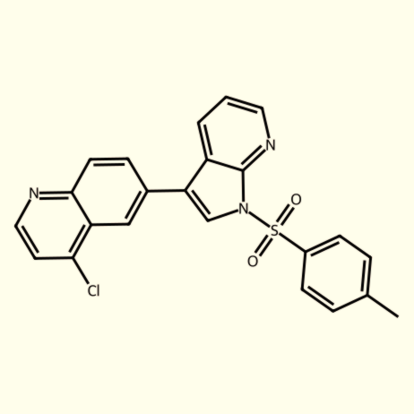 Cc1ccc(S(=O)(=O)n2cc(-c3ccc4nccc(Cl)c4c3)c3cccnc32)cc1